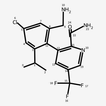 CC(C)c1cc(Cl)cc(CN)c1-c1cc(C(F)(F)F)cnc1C(N)=O